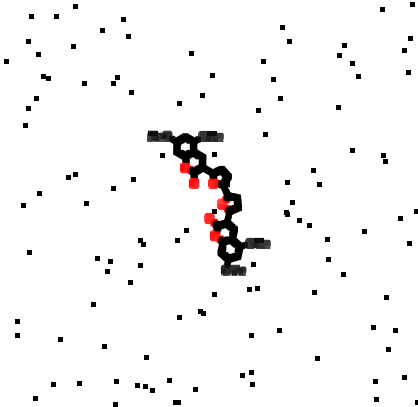 COc1cc(OC)c2cc(-c3ccc(-c4ccc(-c5cc6c(OC)cc(OC)cc6oc5=O)o4)o3)c(=O)oc2c1